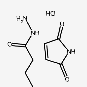 CCCC(=O)NN.Cl.O=C1C=CC(=O)N1